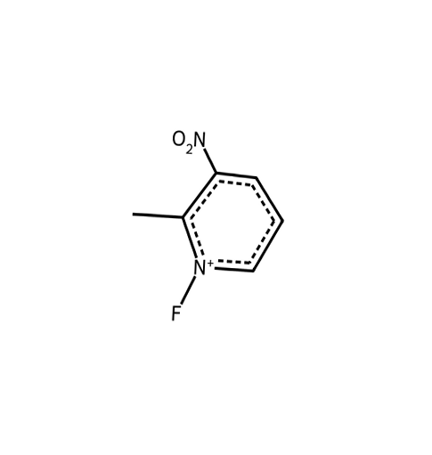 Cc1c([N+](=O)[O-])ccc[n+]1F